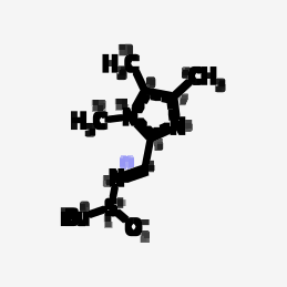 CCC(C)[S+]([O-])/N=C/c1nc(C)c(C)n1C